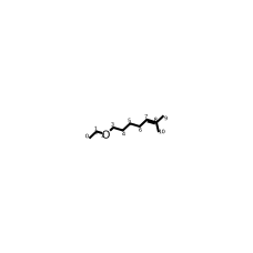 C[CH]OCCCCC=C(C)C